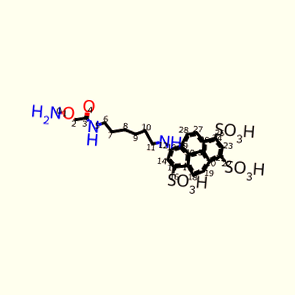 NOCC(=O)NCCCCCCNc1cc(S(=O)(=O)O)c2ccc3c(S(=O)(=O)O)cc(S(=O)(=O)O)c4ccc1c2c43